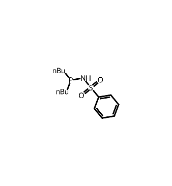 CCCCP(CCCC)NS(=O)(=O)c1ccccc1